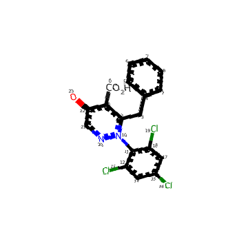 O=C(O)c1c(Cc2ccccc2)n(-c2c(Cl)cc(Cl)cc2Cl)ncc1=O